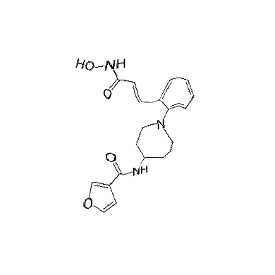 O=C(C=Cc1ccccc1N1CCC(NC(=O)c2ccoc2)CC1)NO